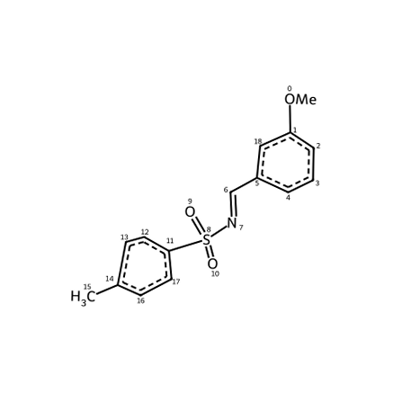 COc1cccc(/C=N/S(=O)(=O)c2ccc(C)cc2)c1